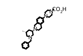 C[C@@H]1C[C@H](N2CCc3cc(N4CCN(C(=O)O)CC4)ccc3C2)CN(Cc2ccccc2)C1